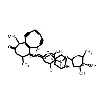 CNC1C(=O)CC(C)/C(=C/CSSC2CCNCC2)C2=C1C#C/C=C\C#C[C@@H]2OC1CC(O)[C@H](NOC2C[C@H](O)[C@H](SC)C(C)O2)C(C)O1